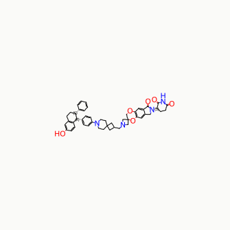 O=C1CC[C@H](N2Cc3cc4c(cc3C2=O)OCC2(CN(CC3CC5(CCN(c6ccc([C@@H]7c8ccc(O)cc8CC[C@@H]7c7ccccc7)cc6)CC5)C3)C2)O4)C(=O)N1